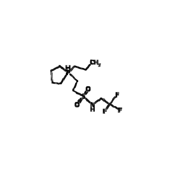 CCC[PH]1(CCS(=O)(=O)NCC(F)(F)F)CCCC1